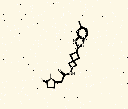 Cc1ccc2sc(C3CC4(CC(NC(=O)CC5CCC(=O)N5)C4)C3)nc2c1